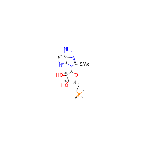 C=P(C)(C)CC[C@H]1OC(n2c(SC)nc3c(N)ccnc32)[C@H](O)[C@@H]1O